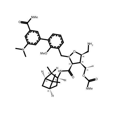 CNC(=O)O[C@@H](C)[C@@H]1[C@H](CN)ON(Cc2cccc(-c3cc(C(=O)NC)cc(N(C)C)c3)c2OC)[C@@H]1C(=O)N[C@H]1C[C@H]2C[C@@H]([C@@H]1C)C2(C)C